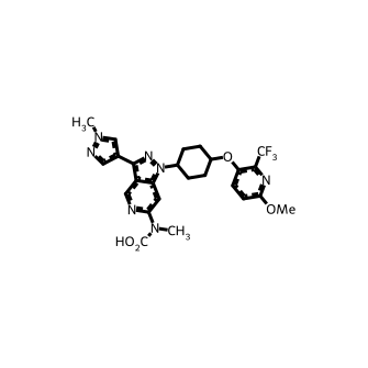 COc1ccc(OC2CCC(n3nc(-c4cnn(C)c4)c4cnc(N(C)C(=O)O)cc43)CC2)c(C(F)(F)F)n1